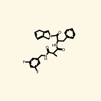 CC(C(=O)NCc1cc(F)cc(F)c1)C(=O)NC(Cc1ccccc1)C(=O)N1C=C2CC=CC=C2C1